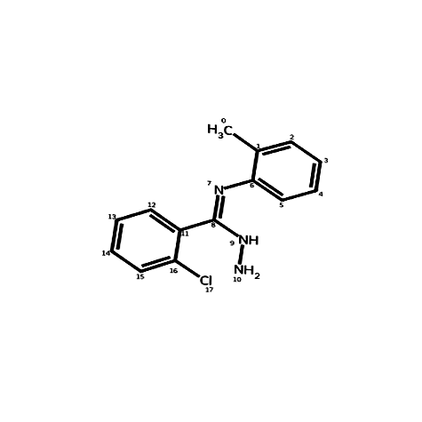 Cc1ccccc1N=C(NN)c1ccccc1Cl